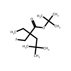 CCC(CF)(CC(C)(C)C)C(=O)OC(C)(C)C